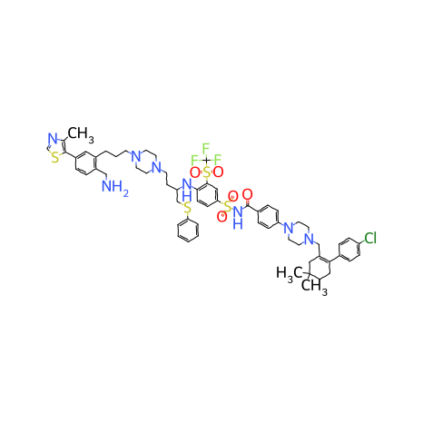 Cc1ncsc1-c1ccc(CN)c(CCCN2CCN(CCC(CSc3ccccc3)Nc3ccc(S(=O)(=O)NC(=O)c4ccc(N5CCN(CC6=C(c7ccc(Cl)cc7)CCC(C)(C)C6)CC5)cc4)cc3S(=O)(=O)C(F)(F)F)CC2)c1